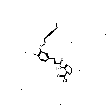 CCC#CCCOc1cc(/C=C/C(=O)Nc2ccccc2C(=O)O)ccc1C